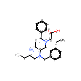 CC[C@H](N)CN(Cc1ccccc1)[C@@H](CC)CN(Cc1ccccc1)[C@@H](CC)C(=O)O